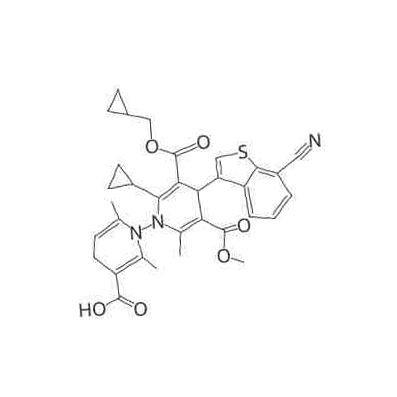 COC(=O)C1=C(C)N(N2C(C)=CCC(C(=O)O)=C2C)C(C2CC2)=C(C(=O)OCC2CC2)C1c1csc2c(C#N)cccc12